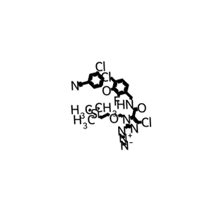 C[Si](C)(C)CCOCn1c(N=[N+]=[N-])nc(Cl)c1C(=O)NCc1ccc(Cl)c(Oc2cc(Cl)cc(C#N)c2)c1F